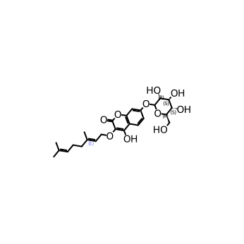 CC(C)=CCC/C(C)=C/COc1c(O)c2ccc(OC3O[C@H](CO)[C@@H](O)[C@H](O)[C@H]3O)cc2oc1=O